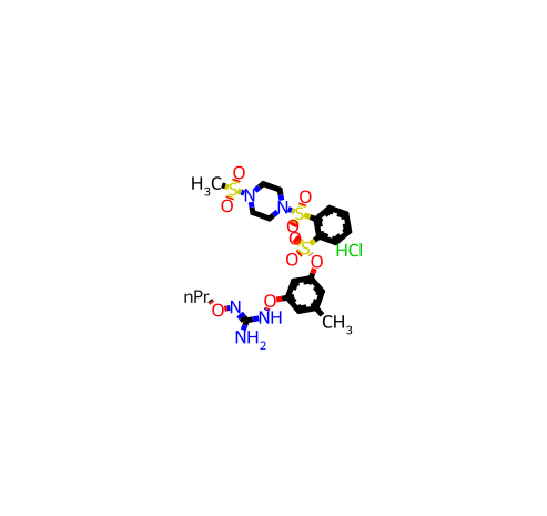 CCCON=C(N)NOc1cc(C)cc(OS(=O)(=O)c2ccccc2S(=O)(=O)N2CCN(S(C)(=O)=O)CC2)c1.Cl